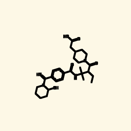 CCC(C(=O)N1CCC(CC(=O)O)CC1)C(C)(C)NC(=O)c1ccc(C(=N)N2CCCCC2O)cc1